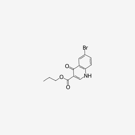 CCCOC(=O)c1c[nH]c2ccc(Br)cc2c1=O